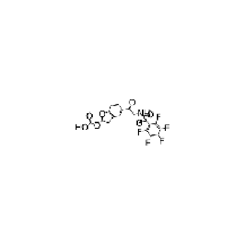 O=C(O)OC1Cc2cc(C(=O)CNS(=O)(=O)c3c(F)c(F)c(F)c(F)c3F)ccc2O1